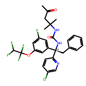 CC(=O)CC(C)(C)NC(=O)N[C@@](Cc1ccccc1)(c1cc(F)cc(OC(F)(F)C(F)F)c1)c1ccc(Cl)cn1